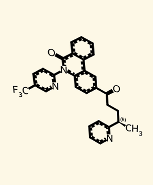 C[C@H](CCC(=O)c1ccc2c(c1)c1ccccc1c(=O)n2-c1ccc(C(F)(F)F)cn1)c1ccccn1